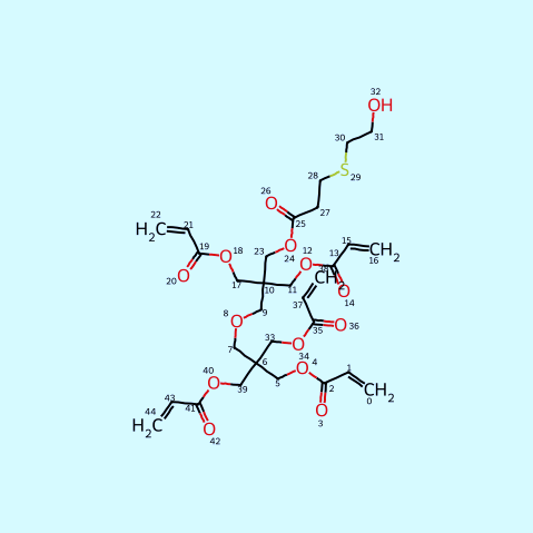 C=CC(=O)OCC(COCC(COC(=O)C=C)(COC(=O)C=C)COC(=O)CCSCCO)(COC(=O)C=C)COC(=O)C=C